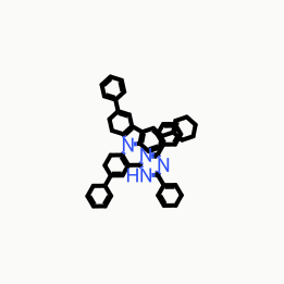 C1=CCC(C2=CC(C3N=C(c4ccccc4)N=C(C4=CCCC=C4)N3)=C(n3c4c(c5cc(C6=CCCCC6)ccc53)C=C(c3ccccc3)CC4)CC2)C=C1